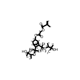 C=C(C)C(=O)OCC(=O)OC1CC2CC1C(C(CC)(CC)OC(C)C(C)(O)C(F)(F)F)C2C(CC)(CC)OC(C)C(C)(O)C(F)(F)F